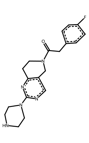 O=C(Cc1ccc(F)cc1)N1CCc2nc(N3CCNCC3)ncc2C1